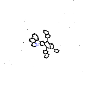 c1ccc(-c2ccc3c(-c4ccc5ccccc5c4)c4cc(-c5cccc6ccc7cccnc7c56)ccc4c(-c4ccc5ccccc5c4)c3c2)cc1